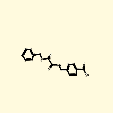 O=C(NCc1ccc(C(=O)O)cc1)C(=O)OCc1ccccc1